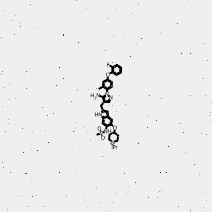 Cc1cc(Oc2ccccc2F)ccc1-n1ncc(Cc2cc3cc(OC4CCN(C(C)C)CC4)c(NS(C)(=O)=O)cc3[nH]2)c1N